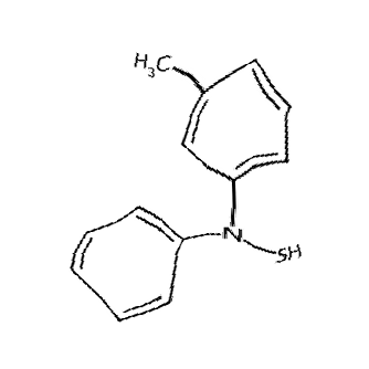 Cc1cccc(N(S)c2ccccc2)c1